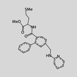 COC(=O)C(CCSC)NC(=O)c1ccc(CNc2ccccn2)cc1-c1ccccc1